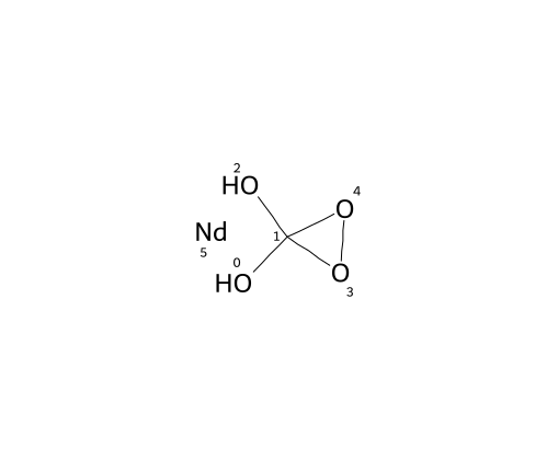 OC1(O)OO1.[Nd]